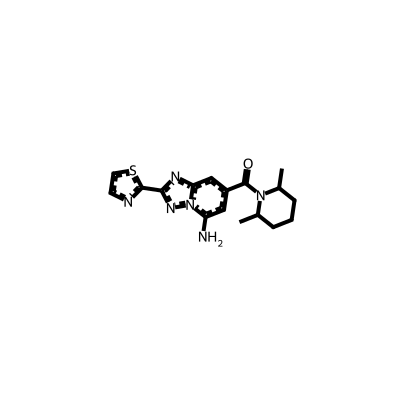 CC1CCCC(C)N1C(=O)c1cc(N)n2nc(-c3nccs3)nc2c1